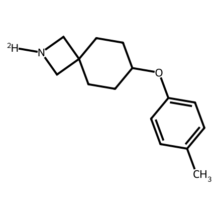 [2H]N1CC2(CCC(Oc3ccc(C)cc3)CC2)C1